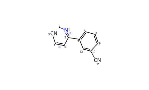 C/N=C(\C=C/C#N)c1cccc(C#N)c1